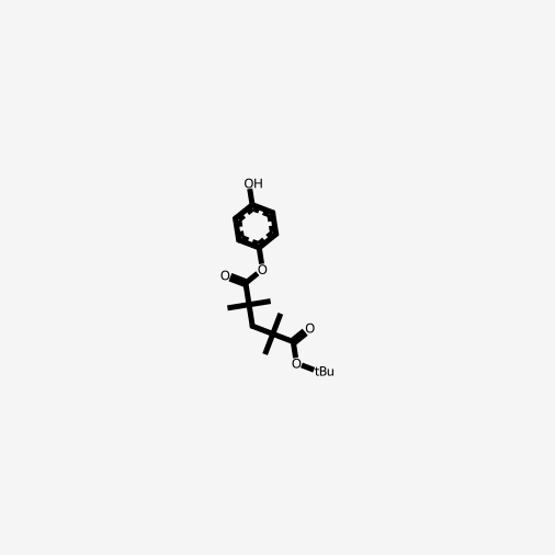 CC(C)(C)OC(=O)C(C)(C)CC(C)(C)C(=O)Oc1ccc(O)cc1